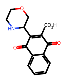 O=C(O)C1=C(C2COCCN2)C(=O)c2ccccc2C1=O